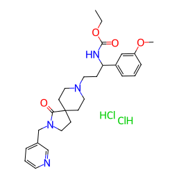 CCOC(=O)NC(CCN1CCC2(CC1)CCN(Cc1cccnc1)C2=O)c1cccc(OC)c1.Cl.Cl